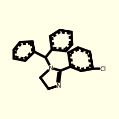 Clc1cccc(C2=NCCN2C(c2ccccc2)c2ccccc2)c1